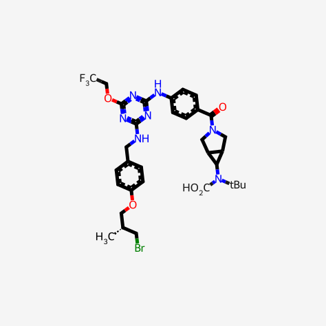 C[C@@H](CBr)COc1ccc(CNc2nc(Nc3ccc(C(=O)N4CC5C(C4)C5N(C(=O)O)C(C)(C)C)cc3)nc(OCC(F)(F)F)n2)cc1